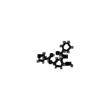 Nc1ccc(OC(=O)n2ccnc2)cc1NC(=O)C1CCCCC1